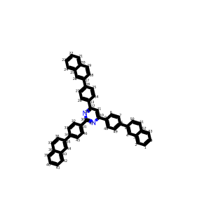 c1ccc2cc(-c3ccc(-c4cc(-c5ccc(-c6ccc7ccccc7c6)cc5)nc(-c5ccc(-c6ccc7ccccc7c6)cc5)n4)cc3)ccc2c1